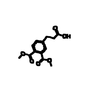 COC(=O)c1ccc(CCC(=O)O)cc1C(=O)OC